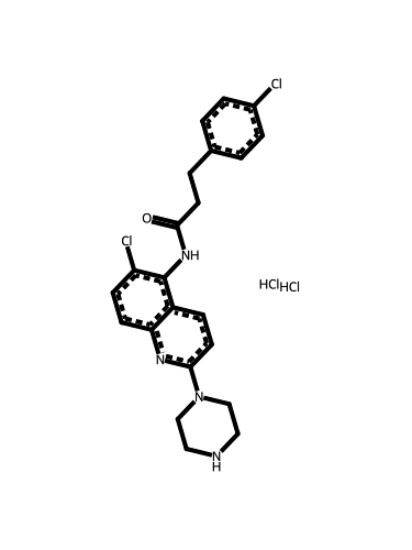 Cl.Cl.O=C(CCc1ccc(Cl)cc1)Nc1c(Cl)ccc2nc(N3CCNCC3)ccc12